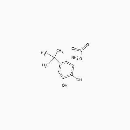 CC(C)(C)c1ccc(O)c(O)c1.[NH4+].[O]=[V](=[O])[O-]